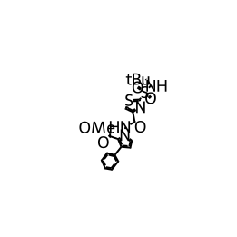 COC(=O)c1c(-c2ccccc2)ccn1NC(=O)c1csc(S(=O)(=O)NC(C)(C)C)n1